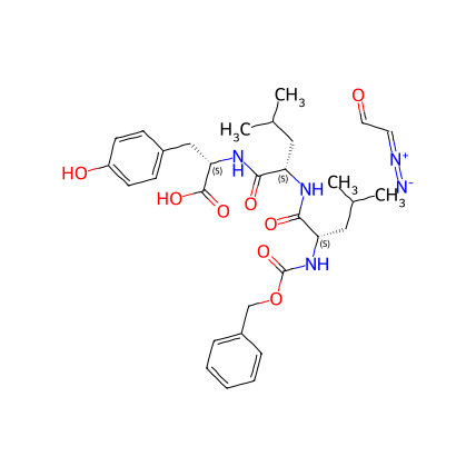 CC(C)C[C@H](NC(=O)OCc1ccccc1)C(=O)N[C@@H](CC(C)C)C(=O)N[C@@H](Cc1ccc(O)cc1)C(=O)O.[N-]=[N+]=CC=O